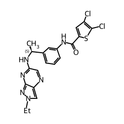 CCn1cc2ncc(N[C@@H](C)c3cccc(NC(=O)c4cc(Cl)c(Cl)s4)c3)nc2n1